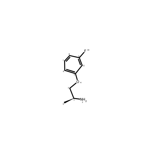 C[C@H](N)COc1cccc(F)c1